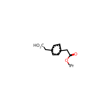 CC(C)OC(=O)Cc1ccc(CC(=O)O)cc1